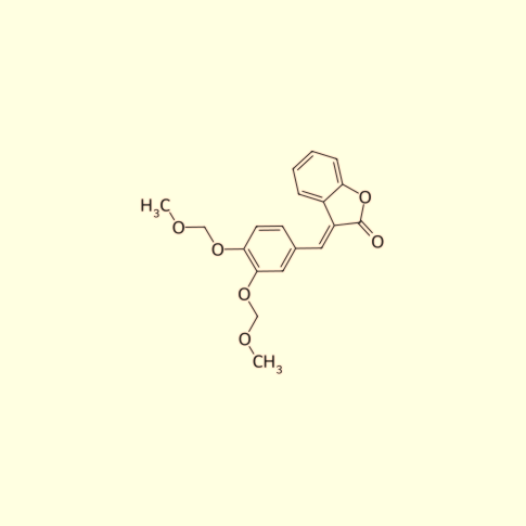 COCOc1ccc(/C=C2/C(=O)Oc3ccccc32)cc1OCOC